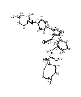 CN1CCN(NC(=O)Nc2cccc3c2C(=O)c2c(-c4ccc(N5CCN(C)CC5)cc4)n[nH]c2-3)CC1